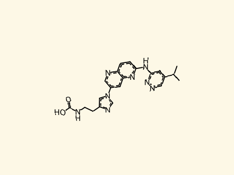 CC(C)c1cnnc(Nc2ccc3ncc(-n4cnc(CCNC(=O)O)c4)cc3n2)c1